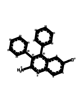 Nc1nc2ccc(Cl)cc2c(-c2ccccc2)c1-c1ccccc1